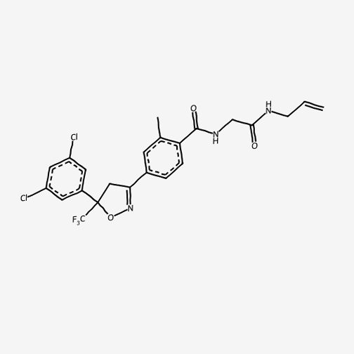 C=CCNC(=O)CNC(=O)c1ccc(C2=NOC(c3cc(Cl)cc(Cl)c3)(C(F)(F)F)C2)cc1C